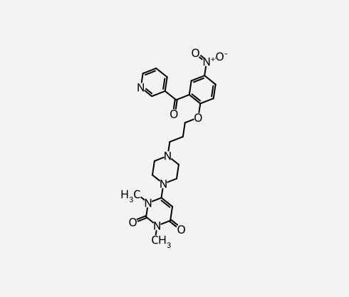 Cn1c(N2CCN(CCCOc3ccc([N+](=O)[O-])cc3C(=O)c3cccnc3)CC2)cc(=O)n(C)c1=O